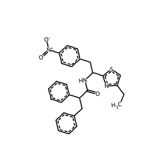 CCc1csc(C(Cc2ccc([N+](=O)[O-])cc2)NC(=O)C(Cc2ccccc2)c2ccccc2)n1